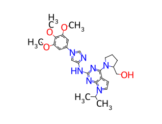 COc1cc(-n2cnc(Nc3nc(N4CCCC4CO)c4ccn(C(C)C)c4n3)c2)cc(OC)c1OC